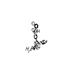 Bc1cnn2c(NCc3cccnc3)cc(C3CCN(C(=O)Nc4cccc(OC)c4)CC3)nc12